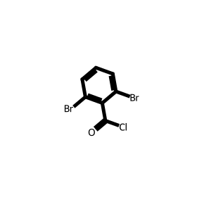 O=C(Cl)c1c(Br)cccc1Br